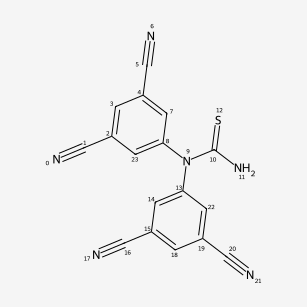 N#Cc1cc(C#N)cc(N(C(N)=S)c2cc(C#N)cc(C#N)c2)c1